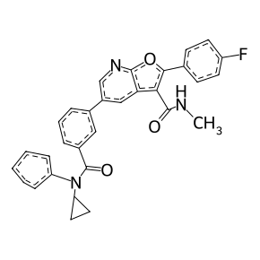 CNC(=O)c1c(-c2ccc(F)cc2)oc2ncc(-c3cccc(C(=O)N(c4ccccc4)C4CC4)c3)cc12